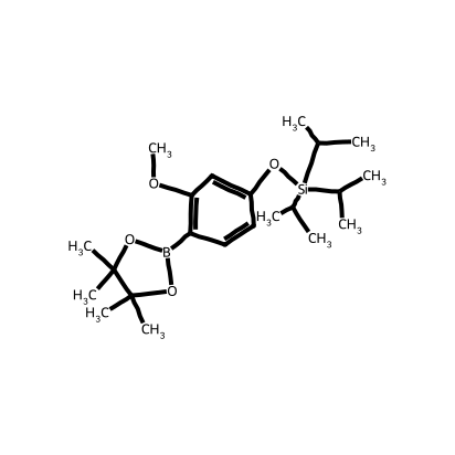 COc1cc(O[Si](C(C)C)(C(C)C)C(C)C)ccc1B1OC(C)(C)C(C)(C)O1